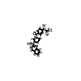 CCC(=O)Nc1ccc(C(=O)N2CC[C@@H](Nc3ncc4ccccc4n3)C2)cc1